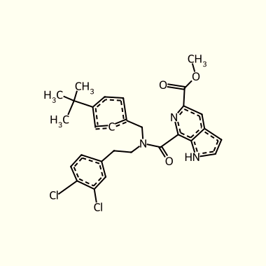 COC(=O)c1cc2cc[nH]c2c(C(=O)N(CCc2ccc(Cl)c(Cl)c2)Cc2ccc(C(C)(C)C)cc2)n1